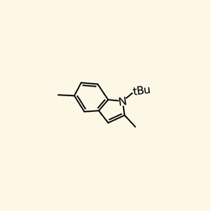 Cc1ccc2c(c1)cc(C)n2C(C)(C)C